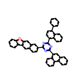 c1ccc(-c2ccc(-c3nc(-c4ccc5cc6c(cc5c4)oc4ccccc46)nc(-c4cc5ccccc5c5ccccc45)n3)c3ccccc23)cc1